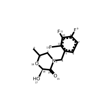 CC1CN(Cc2ccc(F)c(F)c2F)C(=O)[C@@H](O)O1